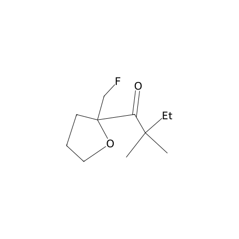 CCC(C)(C)C(=O)C1(CF)CCCO1